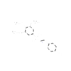 COc1cc(S(=O)(=O)/C=C/c2ccc(O)cc2)cc(OC)c1OC